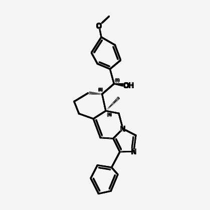 COc1ccc([C@@H](O)[C@H]2CCCC3=Cc4c(-c5ccccc5)ncn4C[C@@]32C)cc1